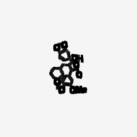 COc1cc(C2=C(CC3CCCCC3)C(O)(c3ccc4c(c3)OCO4)OC2=O)cc2c1OCO2